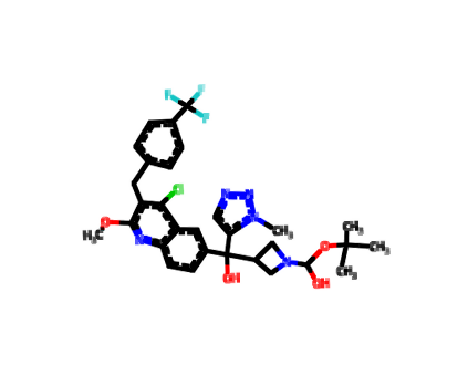 COc1nc2ccc(C(O)(c3cnnn3C)C3CN(C(O)OC(C)(C)C)C3)cc2c(Cl)c1Cc1ccc(C(F)(F)F)cc1